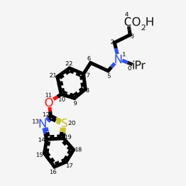 CC(C)N(CCC(=O)O)CCc1ccc(Oc2nc3ccccc3s2)cc1